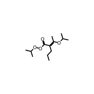 CCCC(C(=O)OOC(C)C)=C(C)OC(C)C